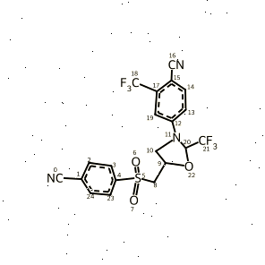 N#Cc1ccc(S(=O)(=O)CC2CN(c3ccc(C#N)c(C(F)(F)F)c3)C(C(F)(F)F)O2)cc1